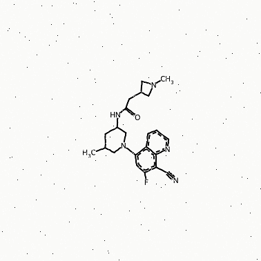 CC1CC(NC(=O)CC2CN(C)C2)CN(c2cc(F)c(C#N)c3ncccc23)C1